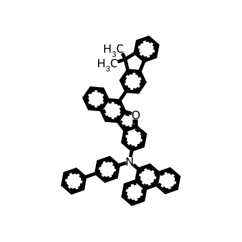 CC1(C)c2ccccc2-c2ccc(-c3c4ccccc4cc4c3oc3ccc(N(c5ccc(-c6ccccc6)cc5)c5cc6ccccc6c6ccccc56)cc34)cc21